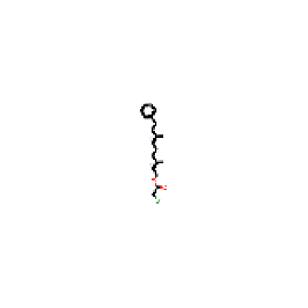 C/C(=C\COC(=O)CBr)CC/C=C(\C)CCc1ccccc1